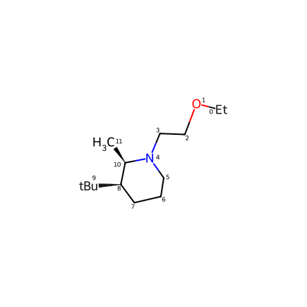 CCOCCN1CCC[C@@H](C(C)(C)C)[C@H]1C